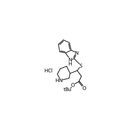 CC(C)(C)OC(=O)CC(Sc1nc2ccccc2[nH]1)C1CCCNC1.Cl